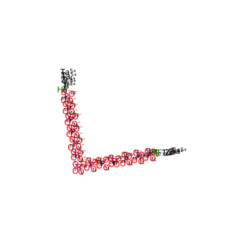 F.F.F.O=P([O-])([O-])[O-].O=P([O-])([O-])[O-].O=P([O-])([O-])[O-].O=P([O-])([O-])[O-].O=P([O-])([O-])[O-].O=P([O-])([O-])[O-].O=P([O-])([O-])[O-].O=P([O-])([O-])[O-].O=P([O-])([O-])[O-].O=P([O-])([O-])[O-].O=P([O-])([O-])[O-].O=P([O-])([O-])[O-].O=P([O-])([O-])[O-].[Ta+5].[Ta+5].[Ta+5].[Ti+4].[Ti+4].[Ti+4].[Zr+4].[Zr+4].[Zr+4]